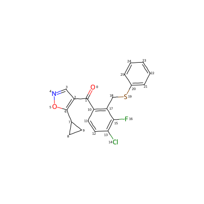 O=C(c1cnoc1C1CC1)c1ccc(Cl)c(F)c1CSc1ccccc1